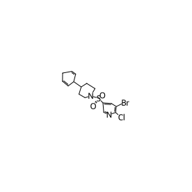 O=S(=O)(c1cnc(Cl)c(Br)c1)N1CCC(C2C=CCC=C2)CC1